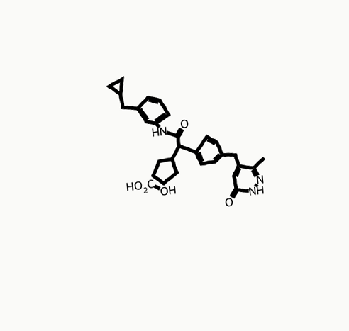 Cc1n[nH]c(=O)cc1Cc1ccc(C(C(=O)Nc2cccc(CC3CC3)c2)C2CCCC2)cc1.O=C(O)O